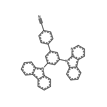 N#Cc1ccc(-c2cc(-n3c4ccccc4c4ccccc43)cc(-n3c4ccccc4c4cccnc43)c2)cc1